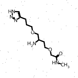 CNC(=O)COCCC(N)COCCCc1c[nH]nn1